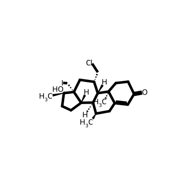 C[C@@H]1CC2=CC(=O)CC[C@]2(C)[C@H]2[C@@H](CCl)C[C@@]3(CI)[C@@H](CC[C@]3(C)O)[C@@H]21